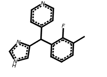 Cc1cccc(C(c2ccncc2)c2c[nH]cn2)c1F